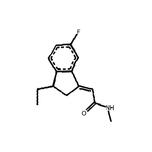 CCC1CC(=CC(=O)NC)c2cc(F)ccc21